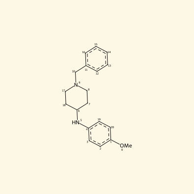 COc1ccc(NC2CCN(Cc3ccccc3)CC2)cc1